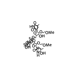 COCCO[C@@H]1[C@H](OP(O)(=S)OC[C@H]2O[C@@H](n3cc(C)c(=O)[nH]c3=O)[C@H](OCCOC)[C@@H]2O)[C@@H](COP(O)(O)=S)O[C@H]1N1C=C(C)C(O)NC1=O